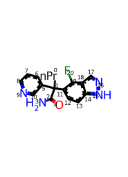 CCCC(C(N)=O)(c1cccnc1)c1ccc2[nH]ncc2c1F